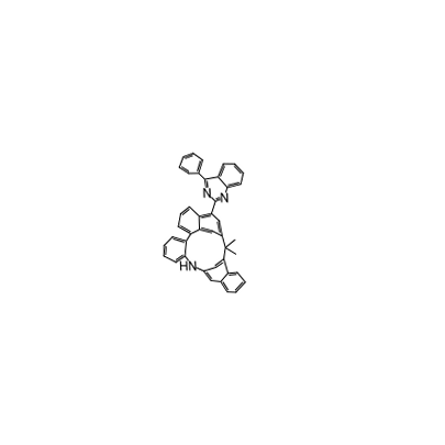 CC1(C)c2cc(-c3nc(-c4ccccc4)c4ccccc4n3)c3cccc(c3c2)-c2ccccc2Nc2cc1c1ccccc1c2